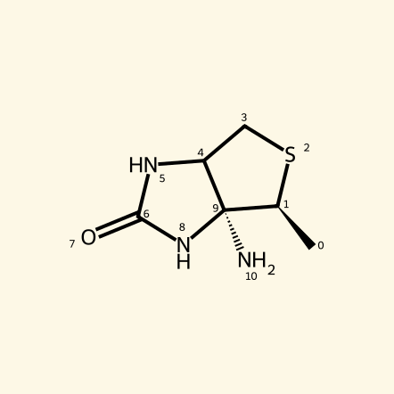 C[C@@H]1SCC2NC(=O)N[C@@]21N